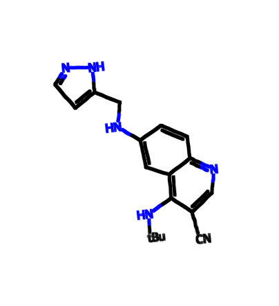 CC(C)(C)Nc1c(C#N)cnc2ccc(NCc3ccn[nH]3)cc12